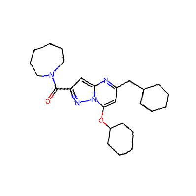 O=C(c1cc2nc(CC3CCCCC3)cc(OC3CCCCC3)n2n1)N1CCCCCC1